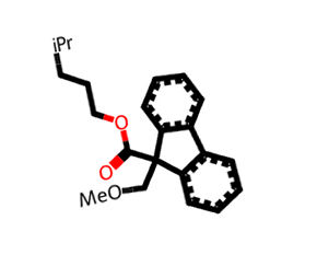 COCC1(C(=O)OCCCC(C)C)c2ccccc2-c2ccccc21